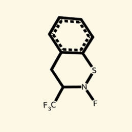 FN1Sc2ccccc2CC1C(F)(F)F